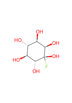 O[C@@H]1[C@@H](O)[C@@H](O)[C@](O)(F)[C@H](O)[C@H]1O